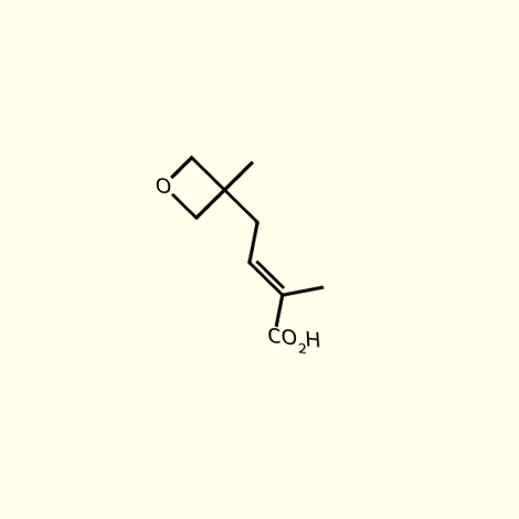 CC(=CCC1(C)COC1)C(=O)O